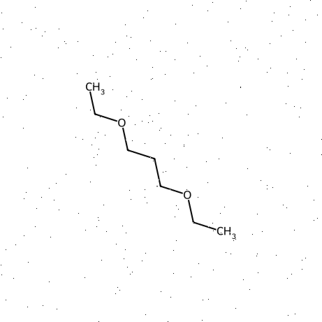 CCO[CH]CCOCC